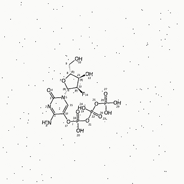 Nc1nc(=O)n([C@@H]2O[C@H](CO)[C@@H](O)[C@H]2F)cc1OP(=O)(O)OP(=O)(O)OP(=O)(O)O